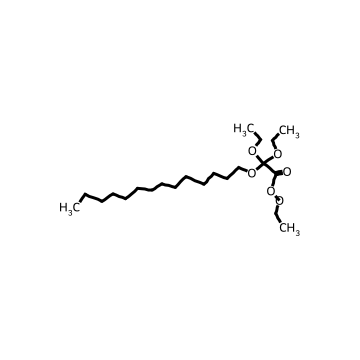 CCCCCCCCCCCCCCOC(OCC)(OCC)C(=O)OOCC